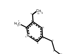 CCCc1cnc(C)c(CC)c1